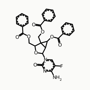 Nc1nc(=O)n(C2OC(COC(=O)c3ccccc3)C3(COC(=O)c4ccccc4)C(OC(=O)c4ccccc4)C23)cc1F